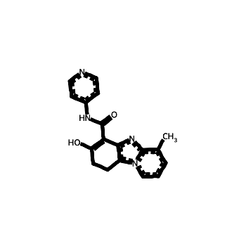 Cc1cccn2c3c(nc12)C(C(=O)Nc1ccncc1)=C(O)CC3